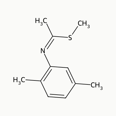 CS/C(C)=N\c1cc(C)ccc1C